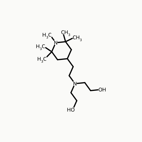 CN1C(C)(C)CC(CCN(CCO)CCO)CC1(C)C